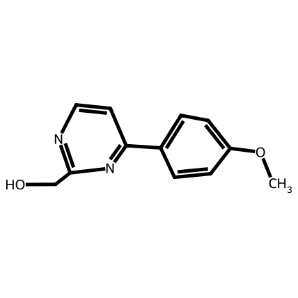 COc1ccc(-c2ccnc(CO)n2)cc1